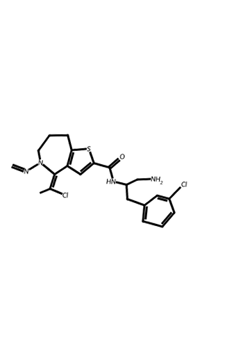 C=NN1CCCc2sc(C(=O)NC(CN)Cc3cccc(Cl)c3)cc2/C1=C(/C)Cl